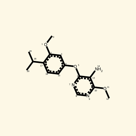 COc1cc(Oc2ncnc(OC)c2N)ccc1C(C)C